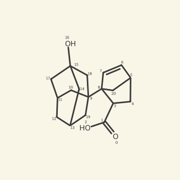 O=C(O)C1CC2C=CC1(C13CC4CC(CC(O)(C4)C1)C3)C2